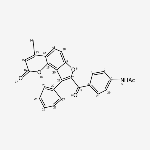 CC(=O)Nc1ccc(C(=O)c2oc3ccc4c(C)cc(=O)oc4c3c2-c2ccccc2)cc1